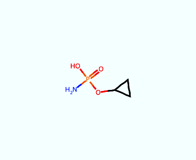 NP(=O)(O)OC1CC1